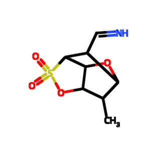 CC1C2OC3C1OS(=O)(=O)C3C2C=N